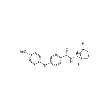 CC(=O)Oc1ccc(Sc2ccc(C(=O)N[C@@H]3C[C@H]4CC[C@@H]3N4)cc2)cc1